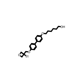 CCC1(COc2ccc(-c3ccc(OCCCCCCO)cc3)cc2)COC1